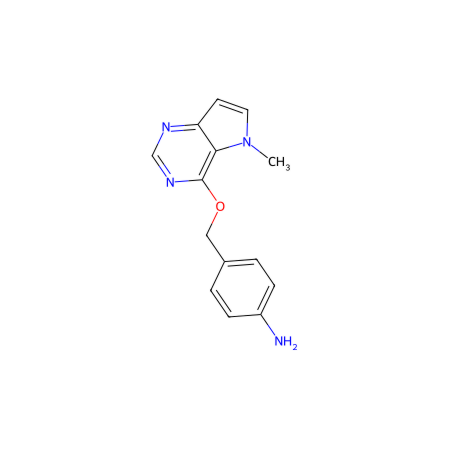 Cn1ccc2ncnc(OCc3ccc(N)cc3)c21